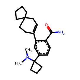 CN(C)C1(c2ccc(C(N)=O)c(C3=CCC4(CCCC4)CC3)c2)CCC1